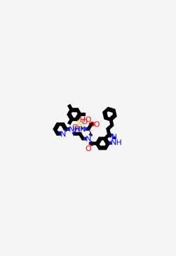 Cc1cc(C)c(S(=O)(=O)N[C@@H](CN(CCCNc2ccccn2)C(=O)c2ccc3[nH]nc(CCc4ccccc4)c3c2)C(=O)O)c(C)c1